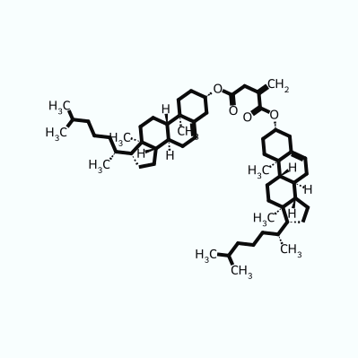 C=C(CC(=O)O[C@H]1CC[C@@]2(C)C(=CC[C@H]3[C@@H]4CC[C@H]([C@H](C)CCCC(C)C)[C@@]4(C)CC[C@@H]32)C1)C(=O)O[C@H]1CC[C@@]2(C)C(=CC[C@H]3[C@@H]4CC[C@H]([C@H](C)CCCC(C)C)[C@@]4(C)CC[C@@H]32)C1